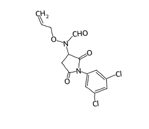 C=CCON(C=O)C1CC(=O)N(c2cc(Cl)cc(Cl)c2)C1=O